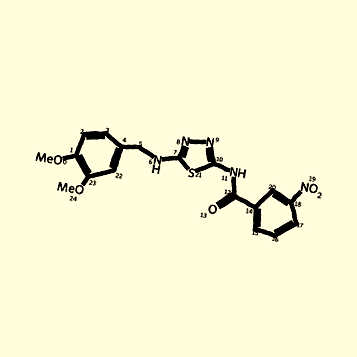 COc1ccc(CNc2nnc(NC(=O)c3cccc([N+](=O)[O-])c3)s2)cc1OC